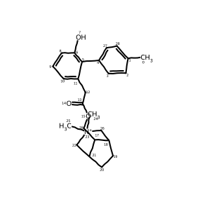 Cc1ccc(-c2c(O)cccc2CC(=O)OCC2C3CCC2C[N+](C)(C)C3)cc1